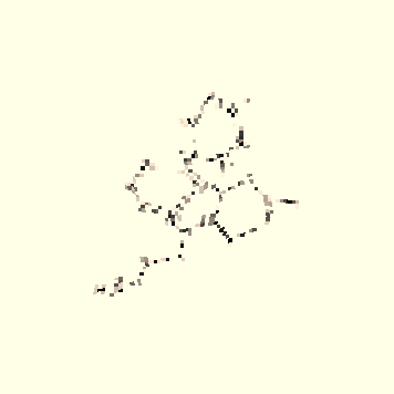 CN1CCN(C(=O)CCCN)C(c2ccccc2)(c2ccccc2)C1